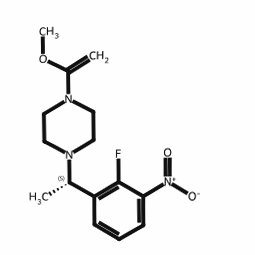 C=C(OC)N1CCN([C@@H](C)c2cccc([N+](=O)[O-])c2F)CC1